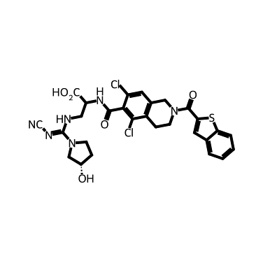 N#C/N=C(\NCC(NC(=O)c1c(Cl)cc2c(c1Cl)CCN(C(=O)c1cc3ccccc3s1)C2)C(=O)O)N1CC[C@H](O)C1